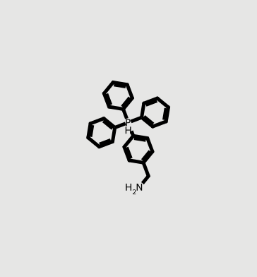 NCc1ccc([PH](c2ccccc2)(c2ccccc2)c2ccccc2)cc1